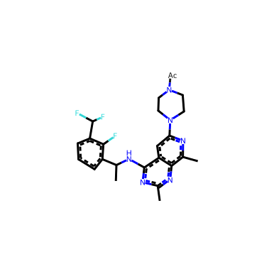 CC(=O)N1CCN(c2cc3c(NC(C)c4cccc(C(F)F)c4F)nc(C)nc3c(C)n2)CC1